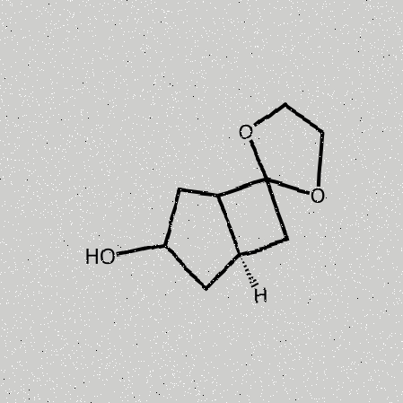 OC1CC2[C@H](C1)CC21OCCO1